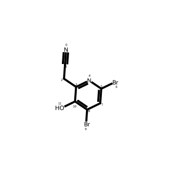 N#CCc1nc(Br)cc(Br)c1O